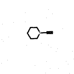 [C]#CN1CCCCC1